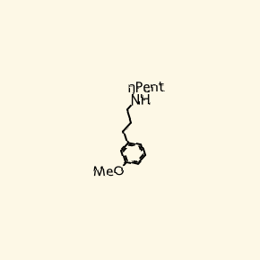 CCCCCNCCCc1cccc(OC)c1